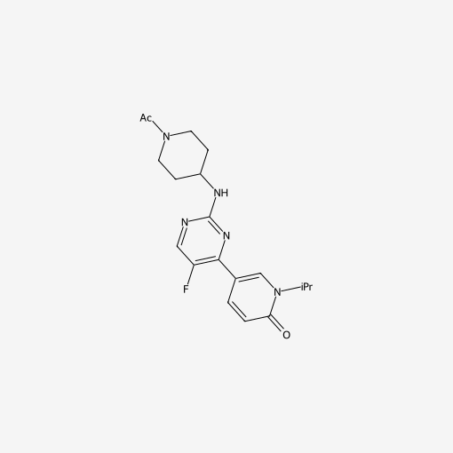 CC(=O)N1CCC(Nc2ncc(F)c(-c3ccc(=O)n(C(C)C)c3)n2)CC1